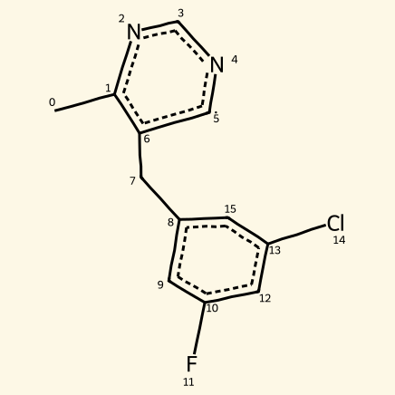 Cc1ncn[c]c1Cc1cc(F)cc(Cl)c1